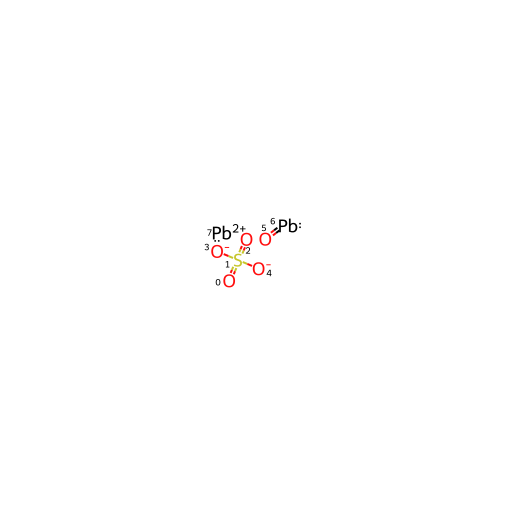 O=S(=O)([O-])[O-].[O]=[Pb].[Pb+2]